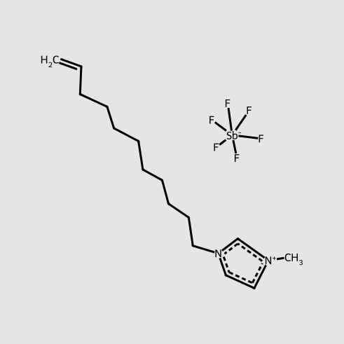 C=CCCCCCCCCCn1cc[n+](C)c1.[F][Sb-]([F])([F])([F])([F])[F]